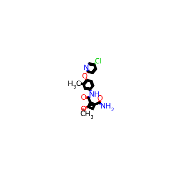 COC12CC(C(N)=O)(C1)C2C(=O)Nc1ccc(Oc2ccc(Cl)cn2)c(C)c1